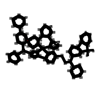 CC1(C)c2ccccc2-c2ccc(C(CCc3ccc4c(c3)C3(c5ccccc5-c5ccccc5-c5ccccc53)c3cc(N(c5ccccc5)c5ccc(-c6ccccc6)cc5)ccc3-4)c3ccccc3)cc21